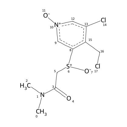 CN(C)C(=O)C[S+]([O-])c1c[n+]([O-])cc(Cl)c1CCl